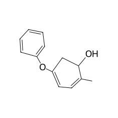 CC1=CC=C(Oc2ccccc2)CC1O